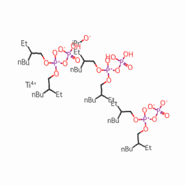 CC(C)[O-].CCCCC(CC)CO[P+]([O-])(OCC(CC)CCCC)OP(=O)(O)O.CCCCC(CC)CO[P+]([O-])(OCC(CC)CCCC)OP(=O)([O-])O.CCCCC(CC)CO[P+]([O-])(OCC(CC)CCCC)OP(=O)([O-])[O-].[Ti+4]